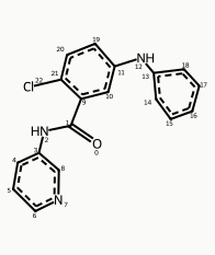 O=C(Nc1cccnc1)c1cc(Nc2ccccc2)ccc1Cl